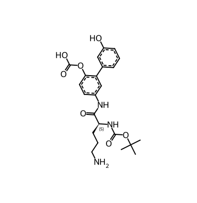 CC(C)(C)OC(=O)N[C@@H](CCCN)C(=O)Nc1ccc(OC(=O)O)c(-c2cccc(O)c2)c1